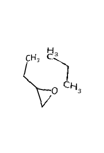 CCC.CCC1CO1